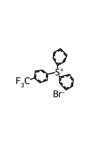 FC(F)(F)c1ccc([S+](c2ccccc2)c2ccccc2)cc1.[Br-]